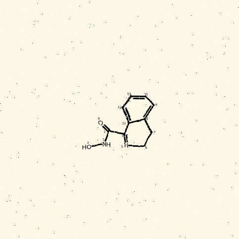 O=C(NO)C1=NCCc2ccccc21